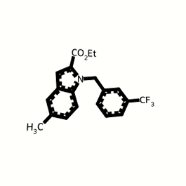 CCOC(=O)c1cc2cc(C)ccc2n1Cc1cccc(C(F)(F)F)c1